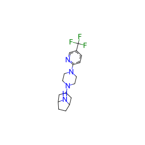 FC(F)(F)c1ccc(N2CCN(C3CC4CCC(C3)N4)CC2)nc1